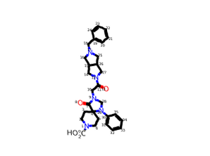 O=C(O)N1CCC2(CC1)C(=O)N(CC(=O)N1CC3CN(Cc4ccccc4)CC3C1)CN2c1ccccc1